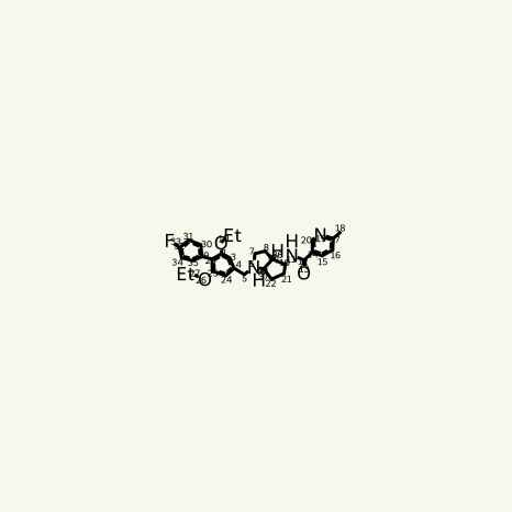 CCOc1cc(CN2CC[C@H]3C(NC(=O)c4ccc(C)nc4)CC[C@H]32)cc(OCC)c1-c1ccc(F)cc1